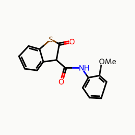 COc1ccccc1NC(=O)C1C(=O)Sc2ccccc21